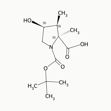 C[C@@H]1[C@H](O)CN(C(=O)OC(C)(C)C)[C@]1(C)C(=O)O